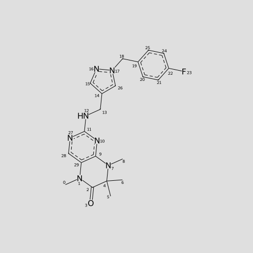 CN1C(=O)C(C)(C)N(C)c2nc(NCc3cnn(Cc4ccc(F)cc4)c3)ncc21